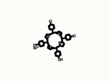 Oc1ccc(-c2c3nc(c(-c4ccc(Cl)cc4)c4ccc([nH]4)c(-c4ccc(Cl)cc4)c4nc(c(-c5ccc(Cl)cc5)c5ccc2[nH]5)C=C4)C=C3)cc1.[Ni+2]